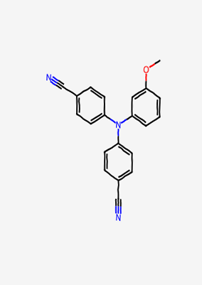 COc1cccc(N(c2ccc(C#N)cc2)c2ccc(C#N)cc2)c1